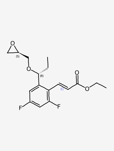 CCOC(=O)/C=C/c1c(F)cc(F)cc1[C@@H](CC)OC[C@H]1CO1